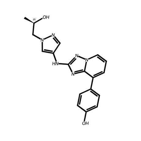 C[C@@H](O)Cn1cc(Nc2nc3c(-c4ccc(O)cc4)cccn3n2)cn1